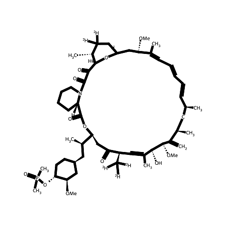 [2H]C([2H])([2H])[C@@H]1/C=C(\C)[C@@H](O)[C@@H](OC)C(=C)[C@H](C)C[C@H](C)/C=C/C=C/C=C(\C)[C@@H](OC)C[C@@H]2CC([2H])([2H])[C@@H](C)[C@@](O)(O2)C(=O)C(=O)N2CCCC[C@H]2C(=O)O[C@H]([C@H](C)C[C@@H]2CC[C@@H](OP(C)(C)=O)[C@H](OC)C2)CC1=O